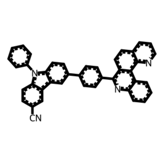 N#Cc1ccc2c(c1)c1cc(-c3ccc(-c4nc5ccccc5c5c4ccc4cccnc45)cc3)ccc1n2-c1ccccc1